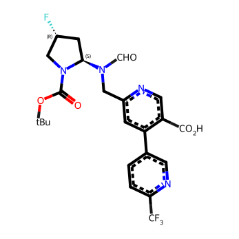 CC(C)(C)OC(=O)N1C[C@H](F)C[C@H]1N(C=O)Cc1cc(-c2ccc(C(F)(F)F)nc2)c(C(=O)O)cn1